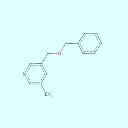 Cc1cncc(COCc2ccccc2)c1